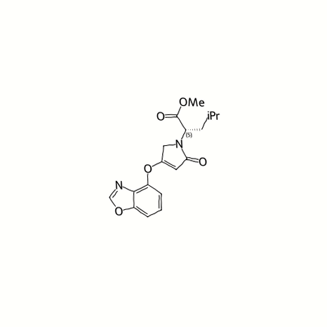 COC(=O)[C@H](CC(C)C)N1CC(Oc2cccc3ocnc23)=CC1=O